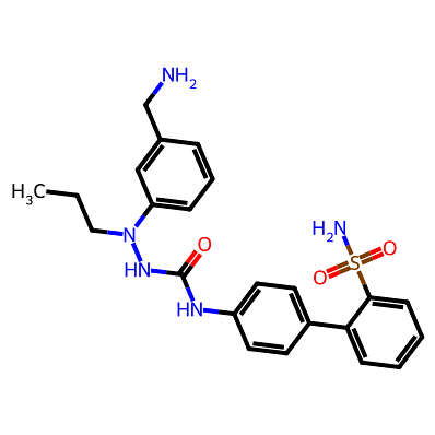 CCCN(NC(=O)Nc1ccc(-c2ccccc2S(N)(=O)=O)cc1)c1cccc(CN)c1